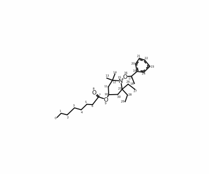 CCCCCCCC(=O)OC1CC(C)(C)N(OC(C)c2ccccc2)C(CC)(CC)C1